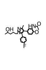 Cc1nn(CCCC(C)O)c(-c2ccc(F)cc2)c1-c1ccc2c(c1)NC(=O)CO2